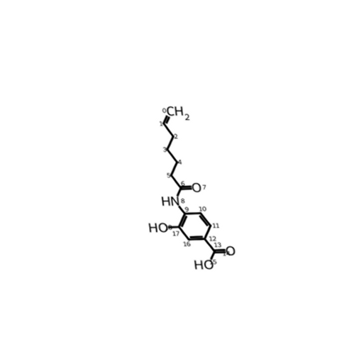 C=CCCCCC(=O)Nc1ccc(C(=O)O)cc1O